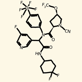 N#CN1C[C@H](OC(F)(F)F)C[C@@H]1C(=O)N(c1ccc(S(F)(F)(F)(F)F)cc1)C(C(=O)NC1CCC(F)(F)CC1)c1cncc(F)c1